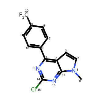 Cn1ccc2c(-c3ccc(C(F)(F)F)cc3)nc(Cl)nc21